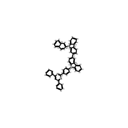 c1ccc(-c2cc(-c3ccccc3)nc(-c3ccc(-n4c5ccccc5c5cc(-c6ccc7c8ccccc8n(-c8ccc9ccccc9c8)c7c6)ccc54)cc3)n2)cc1